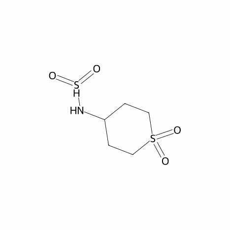 O=[SH](=O)NC1CCS(=O)(=O)CC1